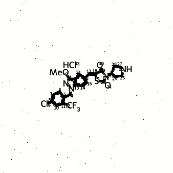 COc1nn(Cc2ccc(Cl)cc2C(F)(F)F)c2ccc(/C=C3\SC(=O)N(C4CCNCC4)C3=O)cc12.Cl